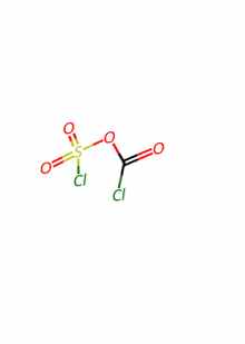 O=C(Cl)OS(=O)(=O)Cl